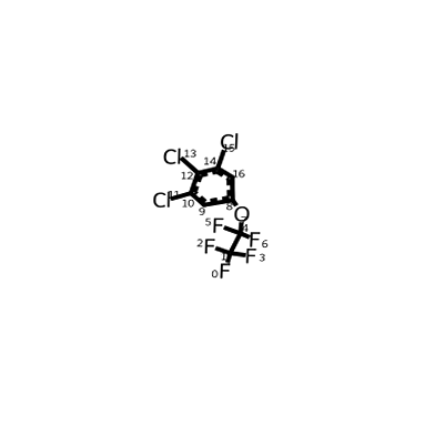 FC(F)(F)C(F)(F)Oc1cc(Cl)c(Cl)c(Cl)c1